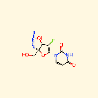 [N-]=[N+]=N[C@]1(CO)O[C@@H](n2ccc(=O)[nH]c2=O)[C@H](F)[C@@H]1O